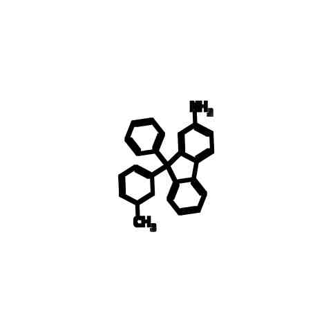 CC1C=CC=C(C2(c3ccccc3)c3ccccc3-c3ccc(N)cc32)C1